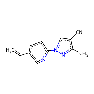 C=Cc1ccc(-n2cc(C#N)c(C)n2)nc1